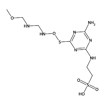 COCNCNOSc1nc(N)nc(NCCS(=O)(=O)O)n1